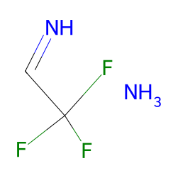 N.N=CC(F)(F)F